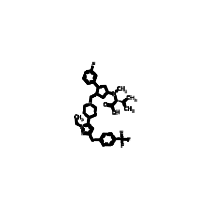 CCn1nc(Cc2ccc(C(F)(F)F)cc2)cc1C1CCN(CC2CC(N(C)[C@@H](C(=O)O)C(C)C)CC2c2cccc(F)c2)CC1